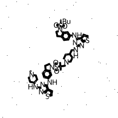 CN1CCC(Nc2nc(Nc3ccc4c(c3)N(S(=O)(=O)C(C)(C)CN3CCC(CNc5nc(Nc6ccc7c(c6)N(S(=O)(=O)C(C)(C)C)CC7)c6ccsc6n5)CC3)CC4)c3ccsc3n2)CC1